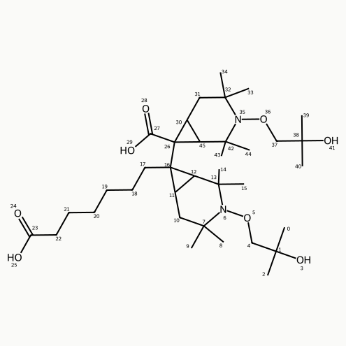 CC(C)(O)CON1C(C)(C)CC2C(C1(C)C)C2(CCCCCCC(=O)O)C1(C(=O)O)C2CC(C)(C)N(OCC(C)(C)O)C(C)(C)C21